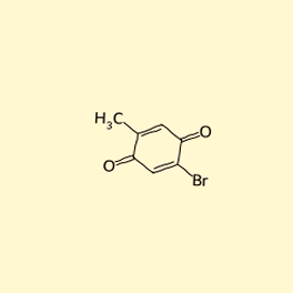 CC1=CC(=O)C(Br)=CC1=O